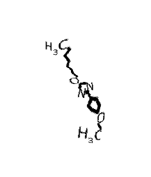 CCCCCCCCOc1cnc(-c2ccc(OCCC)cc2)nc1